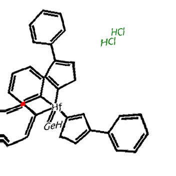 Cl.Cl.[GeH2]=[Hf]([C]1=CC(c2ccccc2)=CC1)([C]1=CC(c2ccccc2)=CC1)([c]1ccccc1)[c]1ccccc1